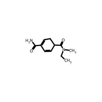 CCN(C)C(=O)C1C=CC(C(N)=O)=CC1